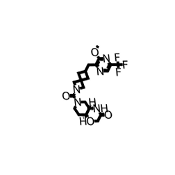 COc1nc(C(F)(F)F)cnc1CC1CC2(C1)CN(C(=O)N1CC[C@@H]3OCC(=O)N[C@@H]3C1)C2